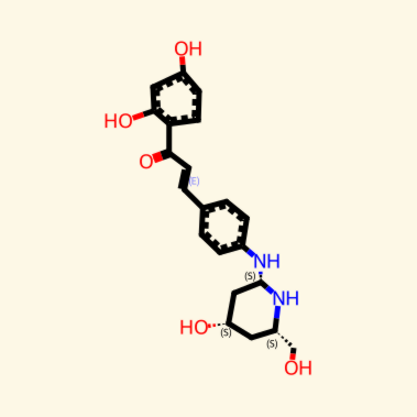 O=C(/C=C/c1ccc(N[C@H]2C[C@@H](O)C[C@@H](CO)N2)cc1)c1ccc(O)cc1O